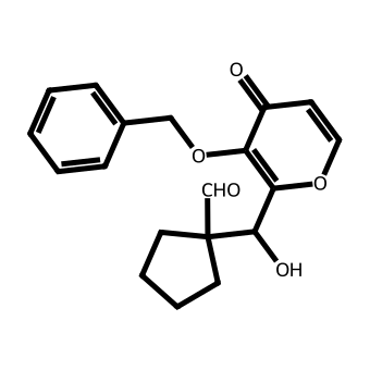 O=CC1(C(O)c2occc(=O)c2OCc2ccccc2)CCCC1